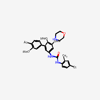 C1COCCN1.CCc1ccc(NC(=O)Nc2cc(OC)c(OC)c(-c3ccc(C(C)=O)c(OC)c3)c2)c(C)c1